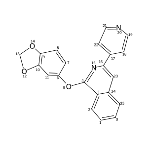 c1ccc2c(Oc3ccc4c(c3)OCO4)nc(-c3ccncc3)cc2c1